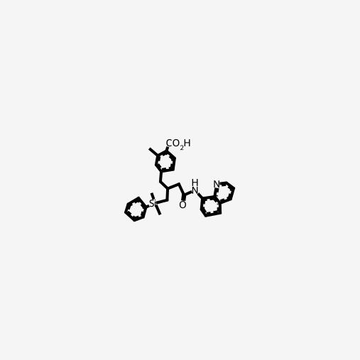 Cc1cc(CC(CC(=O)Nc2cccc3cccnc23)C[Si](C)(C)c2ccccc2)ccc1C(=O)O